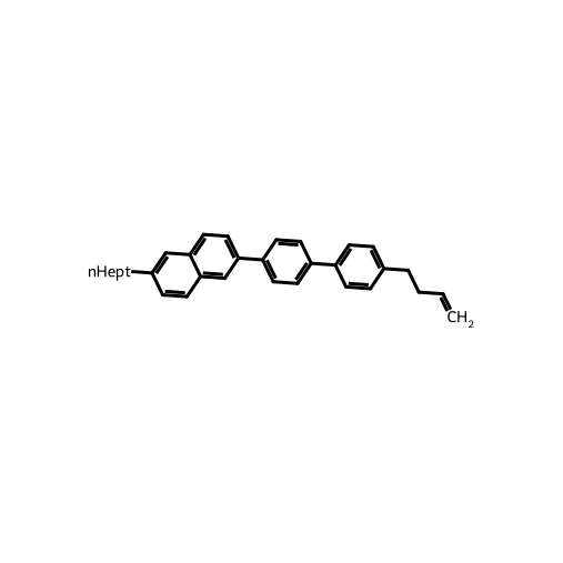 C=CCCc1ccc(-c2ccc(-c3ccc4cc(CCCCCCC)ccc4c3)cc2)cc1